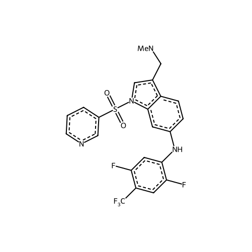 CNCc1cn(S(=O)(=O)c2cccnc2)c2cc(Nc3cc(F)c(C(F)(F)F)cc3F)ccc12